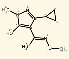 CON=C(C)c1c(C2CC2)nn(C)c1O